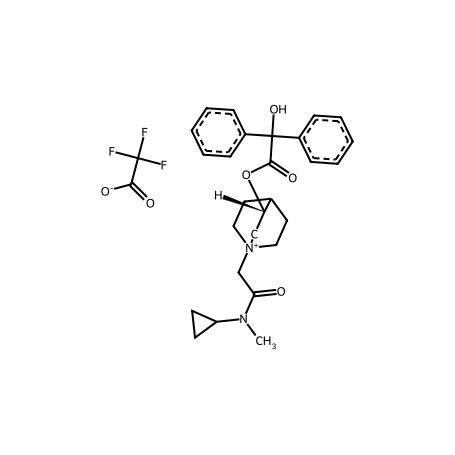 CN(C(=O)C[N+]12CCC(CC1)[C@@H](OC(=O)C(O)(c1ccccc1)c1ccccc1)C2)C1CC1.O=C([O-])C(F)(F)F